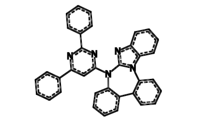 c1ccc(-c2cc(N3c4ccccc4-c4ccccc4-n4c3nc3ccccc34)nc(-c3ccccc3)n2)cc1